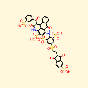 O=C(c1cccc(S(=O)(=O)O)c1)c1c2c3c(c(Nc4c(S(=O)(=O)O)cc(S(=O)(=O)CCC5C(=O)c6ccc(S(=O)(=O)O)cc6C5=O)cc4S(=O)(=O)O)cc(S(=O)(=O)O)c3[nH]c1=O)C(=O)c1ccccc1-2